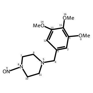 COc1cc(CN2CCN(N=O)CC2)cc(OC)c1OC